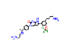 C[C@H](N)CCCc1cc(OC(F)(F)F)c(F)c(-c2cc3cn(-c4ccc([C@H](C)NCC[C@H](C)N)cc4)c(=O)nc3[nH]2)c1